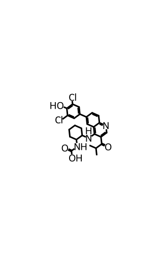 CC(C)C(=O)c1cnc2ccc(-c3cc(Cl)c(O)c(Cl)c3)cc2c1NC1CCCCC1NC(=O)O